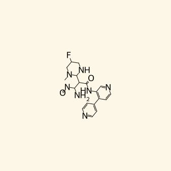 CN1CC(F)CNC1C(C(=O)Nc1cnccc1-c1ccncc1)C(N)N=O